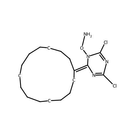 NON1C(Cl)=NC(Cl)=NC1=C1CCCCCCCCCCCCCC1